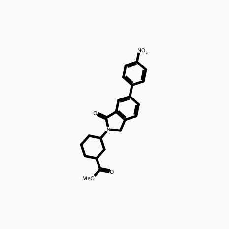 COC(=O)C1CCCC(N2Cc3ccc(-c4ccc([N+](=O)[O-])cc4)cc3C2=O)C1